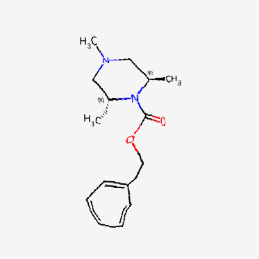 C[C@@H]1CN(C)C[C@@H](C)N1C(=O)OCc1ccccc1